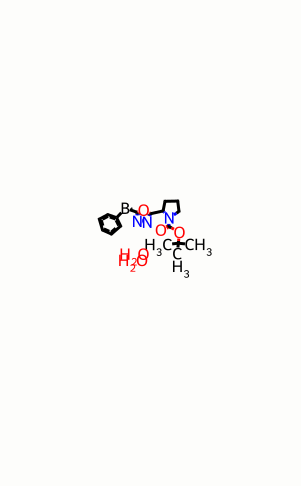 CC(C)(C)OC(=O)N1CCCC1c1nnc([B]c2ccccc2)o1.O.O